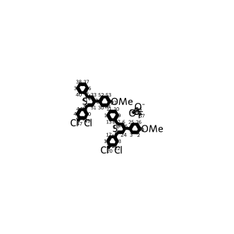 COc1ccc(-c2cc(-c3ccccc3)[s+]c(-c3ccc(Cl)c(Cl)c3)c2)cc1.COc1ccc(-c2cc(-c3ccccc3)[s+]c(-c3ccc(Cl)c(Cl)c3)c2)cc1.[O-]B([O-])F